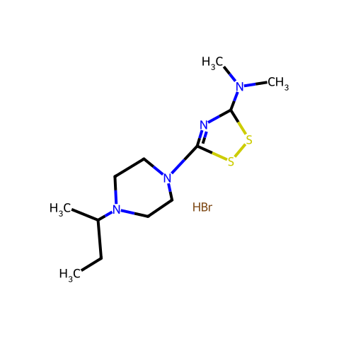 Br.CCC(C)N1CCN(C2=NC(N(C)C)SS2)CC1